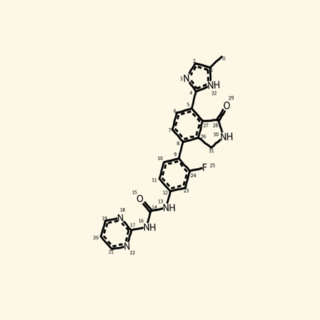 Cc1cnc(-c2ccc(-c3ccc(NC(=O)Nc4ncccn4)cc3F)c3c2C(=O)NC3)[nH]1